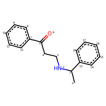 CC(NCCC(=O)c1ccccc1)c1ccccc1